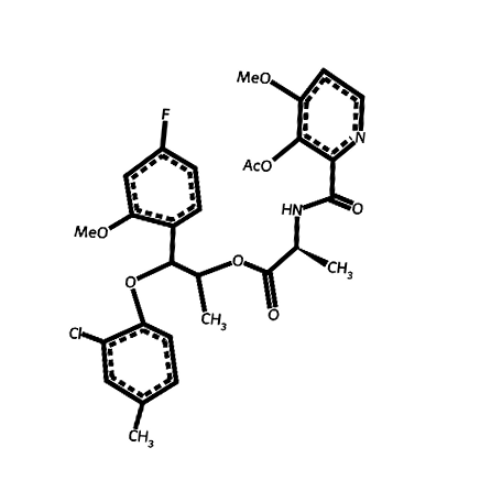 COc1cc(F)ccc1C(Oc1ccc(C)cc1Cl)C(C)OC(=O)[C@H](C)NC(=O)c1nccc(OC)c1OC(C)=O